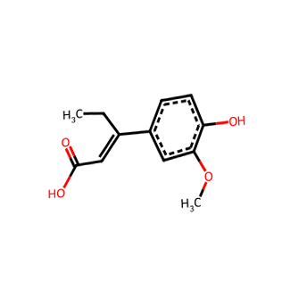 CCC(=CC(=O)O)c1ccc(O)c(OC)c1